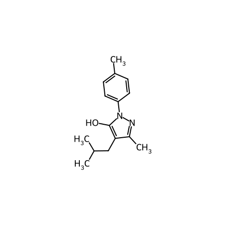 Cc1ccc(-n2nc(C)c(CC(C)C)c2O)cc1